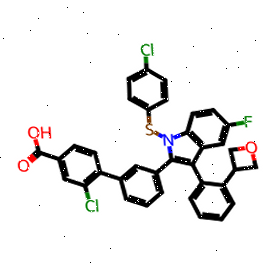 O=C(O)c1ccc(-c2cccc(-c3c(-c4ccccc4C4COC4)c4cc(F)ccc4n3Sc3ccc(Cl)cc3)c2)c(Cl)c1